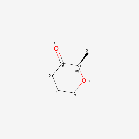 C[C@H]1O[CH]CCC1=O